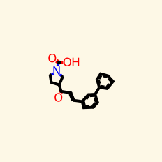 O=C(C=Cc1cccc(-c2ccccc2)c1)C1CCN(C(=O)O)C1